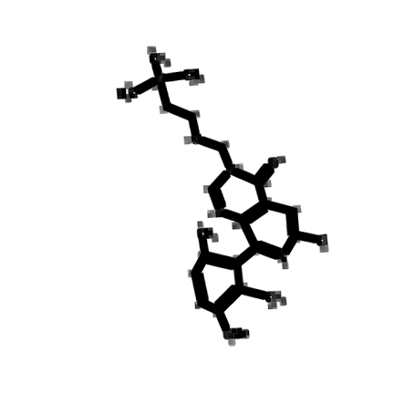 COc1ccc(C)c(-c2nc(Cl)cc3c(=O)n(COCC[Si](C)(C)C)cnc23)c1C